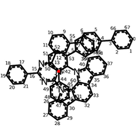 c1ccc(-c2ccc(-c3cccc(-c4nc(-c5ccccc5)nc(-n5c6ccccc6c6ccc7c8ccccc8n(-c8c(-c9ccccc9)cccc8-c8ccccc8)c7c65)n4)c3)cc2)cc1